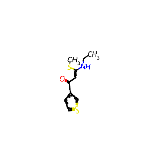 CCNC(=CC(=O)c1ccsc1)SC